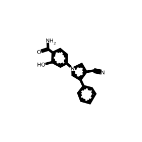 N#Cc1cn(-c2ccc(C(N)=O)c(O)c2)cc1-c1ccccc1